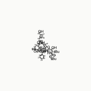 C=C1C2=C(C)[C@@H](OC(=O)[C@H](O)[C@@H](NC(=O)OC(C)(C)C)C(C)(C)C)C[C@@]1(O)[C@@H](OC(=O)c1ccccc1)[C@H]1[C@@](C)(CC[C@H]3OC[C@]31OC(C)=O)[C@@H]1O[C@H](CN3CC[C@H]3CO)O[C@H]21